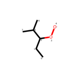 CCC(O[O])[C](C)C